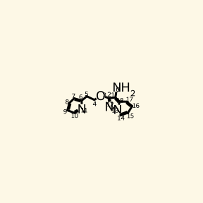 Nc1c(OCCc2ccccn2)nn2ccccc12